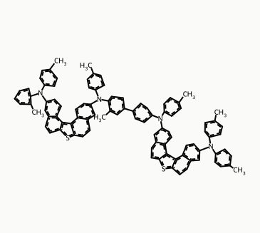 Cc1ccc(N(c2ccc(C)cc2)c2ccc3c(ccc4sc5ccc6cc(N(c7ccc(C)cc7)c7ccc(-c8ccc(N(c9ccc(C)cc9)c9ccc%10c(ccc%11sc%12ccc%13cc(N(c%14ccc(C)cc%14)c%14ccccc%14C)ccc%13c%12c%11%10)c9)c(C)c8)cc7)ccc6c5c43)c2)cc1